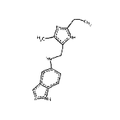 CCc1nc(C)c(CNc2ccc3[nH]ncc3c2)[nH]1